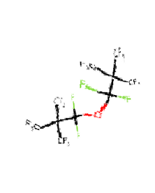 FC(F)(F)C(C(F)(F)F)(C(F)(F)F)C(F)(F)OC(F)(F)C(C(F)(F)F)(C(F)(F)F)C(F)(F)F